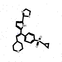 O=S(=O)(c1ccc(/C(=C\C2CCOCC2)c2ccc(C3=NCCS3)[nH]2)cc1)C1CC1